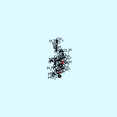 CC(C)C[C@H](NC(=O)CNC(=O)[C@H](C)N)C(=O)NCC(=O)N[C@@H](CC(=O)O)C(=O)N[C@H](C(=O)N[C@@H](CCC(=O)O)C(=O)N[C@@H](C)C(=O)N[C@@H](CCC(N)=O)C(=O)N[C@@H](CCC(N)=O)C(=O)N[C@H](C(=O)N[C@H](C(=O)N[C@@H](CC(C)C)C(=O)N[C@@H](Cc1c[nH]cn1)C(=O)N1CCC[C@H]1C(=O)O)[C@@H](C)O)[C@@H](C)O)[C@@H](C)O